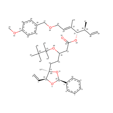 C=C[C@@H]1O[C@H](c2ccccc2)O[C@]1(C)CCC(CC(=O)O[C@H](C(C)=CCOCc1ccc(OC)cc1)[C@@H](C)C=C)O[Si](C)(C)C(C)(C)C